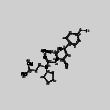 CCCCCc1nc(-c2ccc(CI)cc2)cc(=O)n1CC(=O)N(CCC(O)O)C1CCCC1